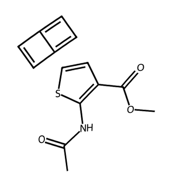 COC(=O)c1ccsc1NC(C)=O.c1cc2ccc1-2